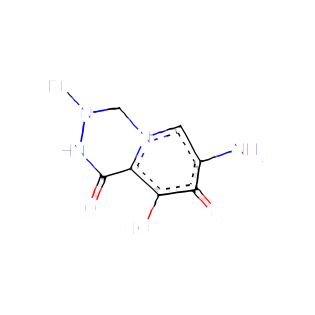 CCN1Cn2cc(N)c(=O)c(O)c2C(=O)N1